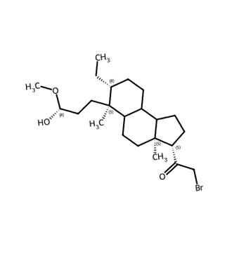 CC[C@@H]1CCC2C3CC[C@H](C(=O)CBr)[C@@]3(C)CCC2[C@@]1(C)CC[C@H](O)OC